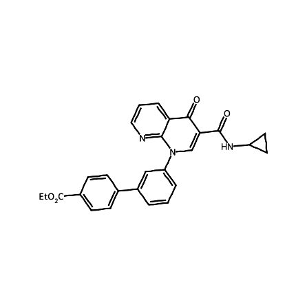 CCOC(=O)c1ccc(-c2cccc(-n3cc(C(=O)NC4CC4)c(=O)c4cccnc43)c2)cc1